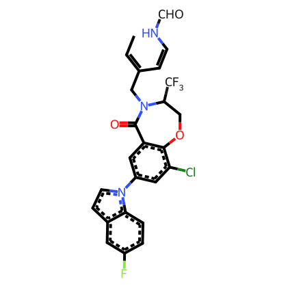 C/C=C(\C=C/NC=O)CN1C(=O)c2cc(-n3ccc4cc(F)ccc43)cc(Cl)c2OCC1C(F)(F)F